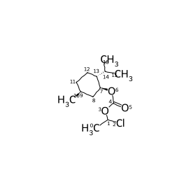 CC(Cl)OC(=O)O[C@H]1C[C@@H](C)CC[C@@H]1C(C)C